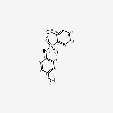 O=S(=O)(Nc1ccc(O)cc1)c1ccccc1Cl